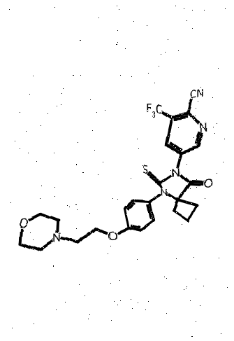 N#Cc1ncc(N2C(=O)C3(CCC3)N(c3ccc(OCCN4CCOCC4)cc3)C2=S)cc1C(F)(F)F